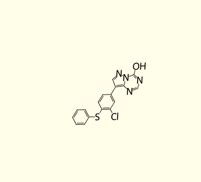 Oc1ncnc2c(-c3ccc(Sc4ccccc4)c(Cl)c3)cnn12